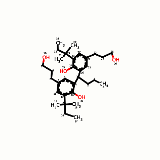 CCCC(c1cc(CCCO)cc(C(C)(C)CC)c1O)c1cc(CCCO)cc(C(C)(C)CC)c1O